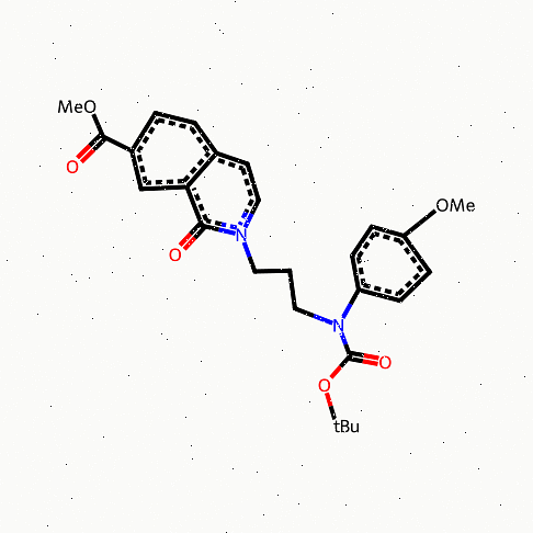 COC(=O)c1ccc2ccn(CCCN(C(=O)OC(C)(C)C)c3ccc(OC)cc3)c(=O)c2c1